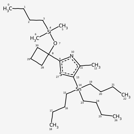 CCCC[Si](C)(C)OC1(c2nc(C)[c]([Sn]([CH2]CCC)([CH2]CCC)[CH2]CCC)s2)CCC1